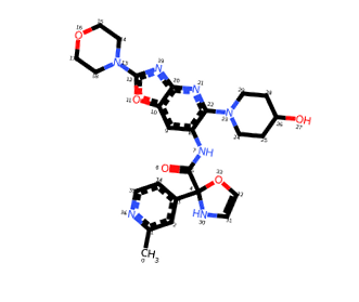 Cc1cc(C2(C(=O)Nc3cc4oc(N5CCOCC5)nc4nc3N3CCC(O)CC3)NC=CO2)ccn1